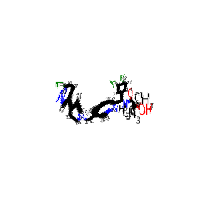 CN(C(=O)C(C)(C)O)[C@@H](c1ccc(F)c(F)c1)c1ccc(CN2CCC(c3ccc(F)nc3)CC2)cn1